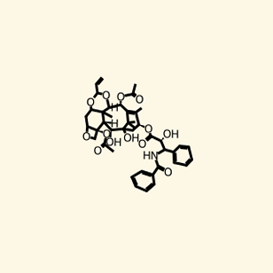 C=CC1OC2CC3OC[C@@]3(OC(C)=O)[C@H]3[C@H](O)C4(O)C[C@H](OC(=O)[C@H](O)C(NC(=O)c5ccccc5)c5ccccc5)C(C)=C([C@H](OC(C)=O)[C@H](O1)C23C)C4(C)C